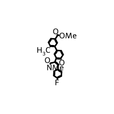 CNC(=O)c1c(-c2ccc(F)cc2)oc2ccc(-c3cc(C(=O)OC)ccc3C)cc12